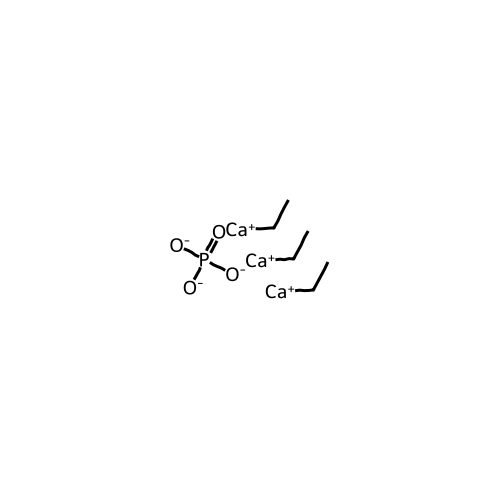 C[CH2][Ca+].C[CH2][Ca+].C[CH2][Ca+].O=P([O-])([O-])[O-]